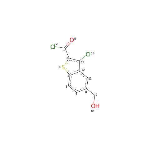 O=C(Cl)c1sc2ccc(CO)cc2c1Cl